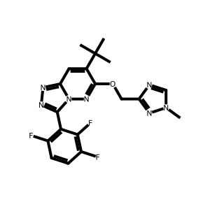 Cn1cnc(COc2nn3c(-c4c(F)ccc(F)c4F)nnc3cc2C(C)(C)C)n1